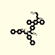 C=C(/C=C(\N=C(/CC)c1ccc(-c2cc(C3=CC=CCC3)c(/C(C)=C/C=C\C)cc2-c2ccccc2)cc1)c1ccc(-c2ccccc2)cc1)c1ccc(-c2ccccc2)cc1